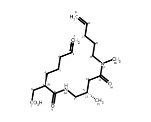 C=CCCC[C@H](CC(=O)O)C(=O)NC[C@@H](C)CC(=O)N(C)CCCC=C